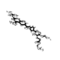 CCOC(=O)CC[C@@H](NC(=O)c1ccc(C=C(C)c2cnc3nc(NC(C)=O)nc(O)c3c2)cc1)C(=O)OCC